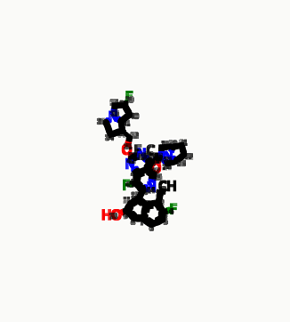 C#Cc1c(F)ccc2cc(O)cc(-c3ncc4c(N5CC6CCC(C5)N6C(=O)C(F)(F)F)nc(OC[C@H]5CCN6C[C@H](F)CC56)nc4c3F)c12